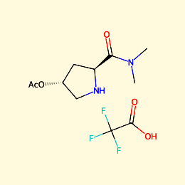 CC(=O)O[C@H]1CN[C@H](C(=O)N(C)C)C1.O=C(O)C(F)(F)F